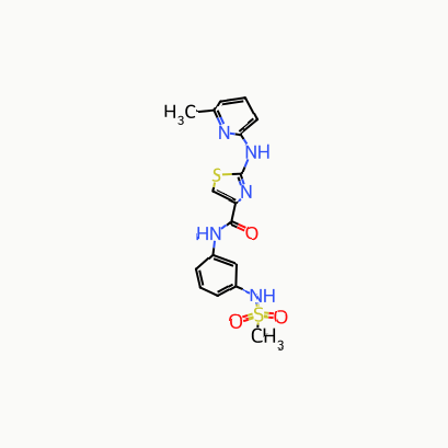 Cc1cccc(Nc2nc(C(=O)Nc3cccc(NS(C)(=O)=O)c3)cs2)n1